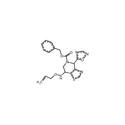 C=CCONC1CN(C(=O)OCc2ccccc2)C(c2ncno2)c2ncsc21